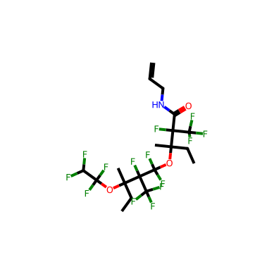 C=CCNC(=O)C(F)(C(F)(F)F)C(C)(CC)OC(F)(F)C(F)(C(F)(F)F)C(C)(CC)OC(F)(F)C(F)F